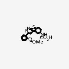 COCOc1ccccc1-c1cc2c3c(sc2nn1)CC[C@@H](NC(=O)O)C3